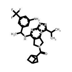 CC(C)c1nnc2nc(NC(C)c3cc(N)cc(C(F)(F)F)c3)c3c(n12)CN(C(=O)C1CC2CC1C2)C3